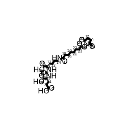 O=C(O)CC[C@H](NC(=O)N[C@@H](CCCCNC(=O)CCCCCCC(=O)ON1C(=O)CCC1=O)C(=O)O)C(=O)O